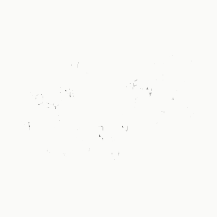 O=C(NCC(F)(F)F)c1cc(CNC(=O)N2CCC3(CC2)CC(=O)c2ccccc2N3F)ccc1F